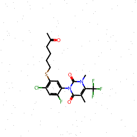 CC(=O)CCCCSc1cc(-n2c(=O)c(C)c(C(F)(F)F)n(C)c2=O)c(F)cc1Cl